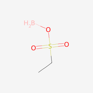 BOS(=O)(=O)CC